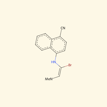 CN/C=C(/Br)Nc1ccc(C#N)c2ccccc12